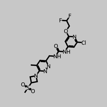 Cc1cc(CNC(=O)Nc2cc(Cl)nc(OCC(F)F)c2)nnc1N1CC(S(C)(=O)=O)C1